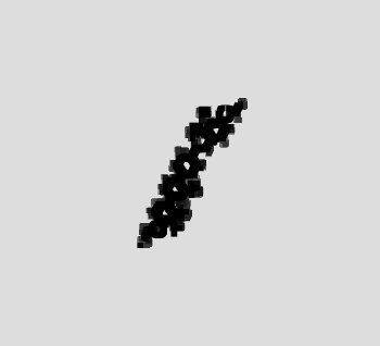 CCOc1ccc(CCC2CC=C(c3ccc(-c4ccc(OCC)c(F)c4F)cc3F)CC2)c(F)c1F